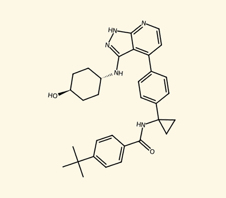 CC(C)(C)c1ccc(C(=O)NC2(c3ccc(-c4ccnc5[nH]nc(N[C@H]6CC[C@H](O)CC6)c45)cc3)CC2)cc1